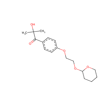 CC(C)(O)C(=O)c1ccc(OCCOC2CCCCO2)cc1